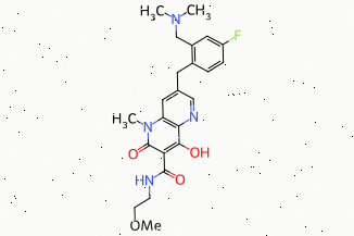 COCCNC(=O)c1c(O)c2ncc(Cc3ccc(F)cc3CN(C)C)cc2n(C)c1=O